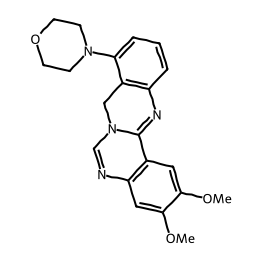 COc1cc2c(cc1OC)C1=Nc3cccc(N4CCOCC4)c3CN1C=N2